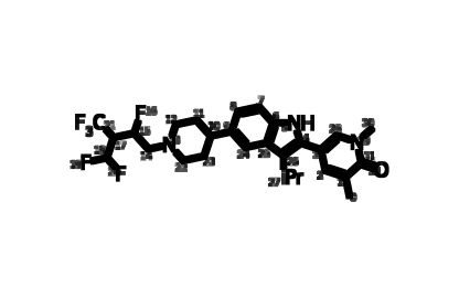 Cc1cc(-c2[nH]c3ccc(C4CCN(CC(F)C(C(F)F)C(F)(F)F)CC4)cc3c2C(C)C)cn(C)c1=O